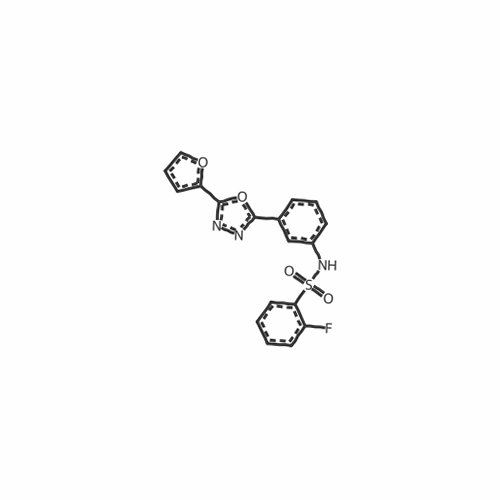 O=S(=O)(Nc1cccc(-c2nnc(-c3ccco3)o2)c1)c1ccccc1F